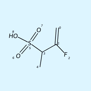 C=C(F)C(C)S(=O)(=O)O